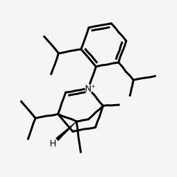 CC(C)c1cccc(C(C)C)c1[N+]1=CC2(C(C)C)CCC1(C)C[C@@H]2C